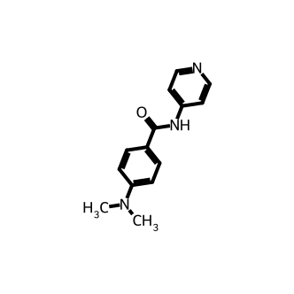 CN(C)c1ccc(C(=O)Nc2ccncc2)cc1